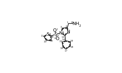 NCc1cn(S(=O)(=O)c2cccs2)c(-c2ccccc2)n1